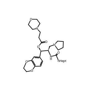 CCCCCCCC(=O)N[C@H](CN1CCCC1)[C@H](OC(=O)CCN1CCOCC1)c1ccc2c(c1)OCCO2